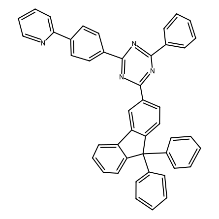 c1ccc(-c2nc(-c3ccc(-c4ccccn4)cc3)nc(-c3ccc4c(c3)-c3ccccc3C4(c3ccccc3)c3ccccc3)n2)cc1